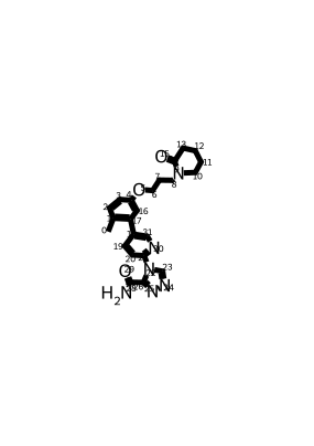 Cc1ccc(OCCCN2CCCCC2=O)cc1-c1ccc(-n2cnnc2C(N)=O)nc1